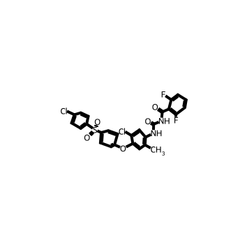 Cc1cc(Oc2ccc(S(=O)(=O)c3ccc(Cl)cc3)cc2)c(Cl)cc1NC(=O)NC(=O)c1c(F)cccc1F